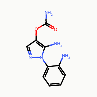 NC(=O)Oc1cnn(-c2ccccc2N)c1N